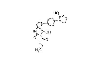 CCOC(=O)c1c(O)c2c(ccn2-c2ccc(-c3ccccc3O)cc2)[nH]c1=O